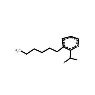 CCCCCCc1cccnc1C(F)F